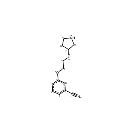 N#Cc1cccc(OCCO[C@H]2CCNC2)c1